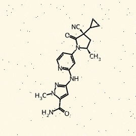 C[C@@H]1C[C@@](C#N)(C2CC2)C(=O)N1c1ccnc(Nc2cc(C(N)=O)n(C)n2)c1